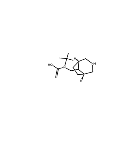 CC(C)(C)N(CC1[C@@H]2CC[C@H]1CNC2)C(=O)O